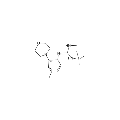 CNC(=Nc1ccc(C)cc1N1CCOCC1)NC(C)(C)C